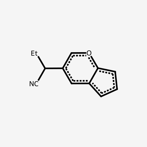 CCC(C#N)c1coc2cccc-2c1